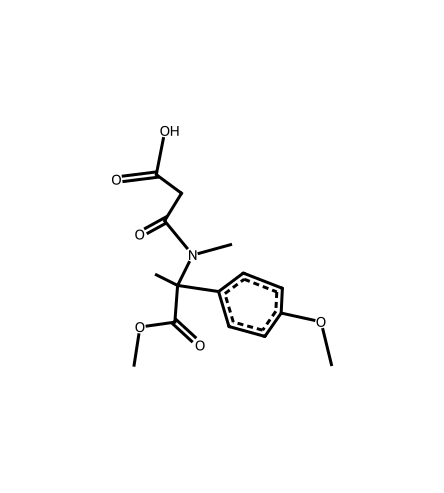 COC(=O)C(C)(c1ccc(OC)cc1)N(C)C(=O)CC(=O)O